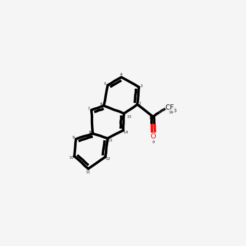 O=C(c1cccc2cc3ccccc3cc12)C(F)(F)F